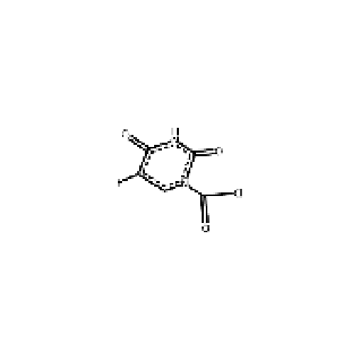 O=C(Cl)n1cc(F)c(=O)[nH]c1=O